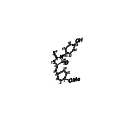 COc1ccc(C=C2SC(=S)N(c3ccc(O)cc3)C2=O)cc1